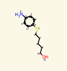 Nc1ccc(SCCCCCO)cc1